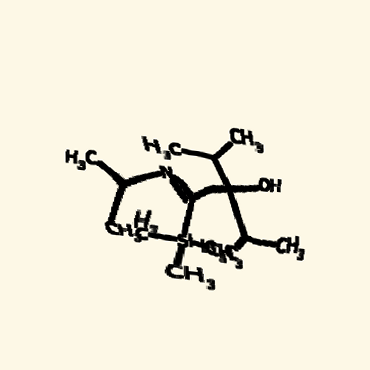 CC(C)N=C(C(O)(C(C)C)C(C)C)[Si](C)(C)C